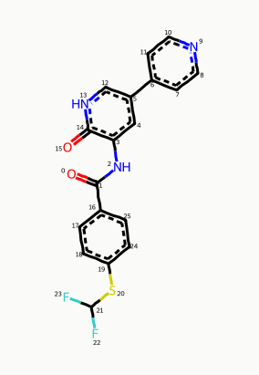 O=C(Nc1cc(-c2ccncc2)c[nH]c1=O)c1ccc(SC(F)F)cc1